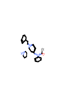 C1CCNCC1.CCC(=O)N(c1ccccc1)C1CCN(CCc2ccccc2)CC1